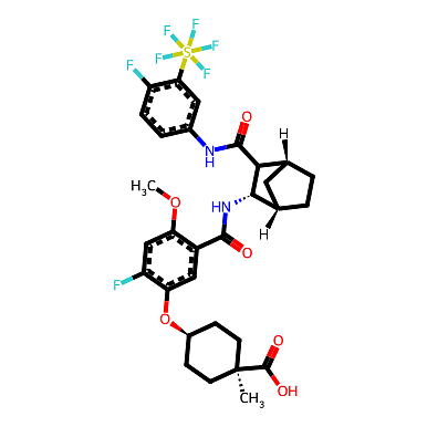 COc1cc(F)c(O[C@H]2CC[C@@](C)(C(=O)O)CC2)cc1C(=O)N[C@@H]1C(C(=O)Nc2ccc(F)c(S(F)(F)(F)(F)F)c2)[C@@H]2CC[C@H]1C2